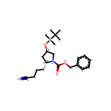 CC(C)(C)[Si](C)(C)O[C@@H]1C[C@@H](CCCC#N)N(C(=O)OCc2ccccc2)C1